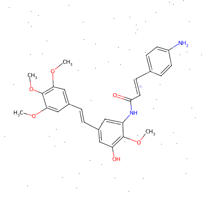 COc1cc(C=Cc2cc(O)c(OC)c(NC(=O)/C=C/c3ccc(N)cc3)c2)cc(OC)c1OC